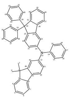 CC1(C)c2ccccc2-c2ccc(N(c3ccccc3)c3ccc4c(c3)-c3ccccc3C4(c3ccccc3)c3ccccc3)cc21